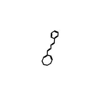 C(C=Cc1ccccc1)=CC1=C/CCCC/C=C\1